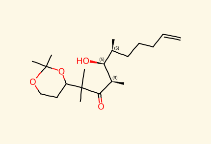 C=CCCC[C@H](C)[C@H](O)[C@@H](C)C(=O)C(C)(C)C1CCOC(C)(C)O1